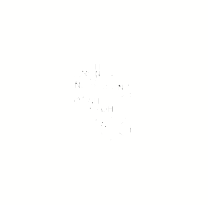 O=C(NCC(O)CN1CCc2ccccc2C1)c1cc(NC2CC(N3CCC3)C2)ncn1